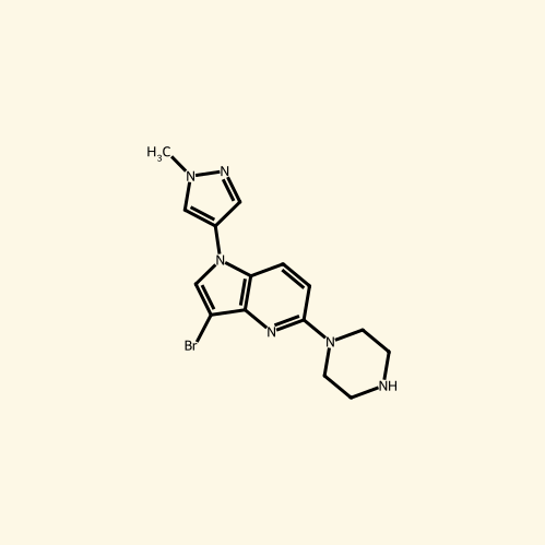 Cn1cc(-n2cc(Br)c3nc(N4CCNCC4)ccc32)cn1